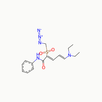 CCN(C=CC=C(C(=O)Nc1ccccc1)S(=O)(=O)CN=[N+]=[N-])CC